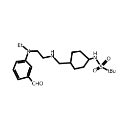 CCN(CCNCC1CCC(NS(=O)(=O)C(C)(C)C)CC1)c1cccc(C=O)c1